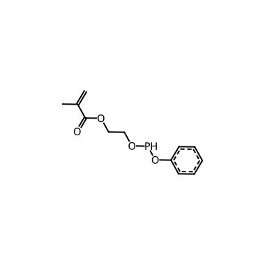 C=C(C)C(=O)OCCOPOc1ccccc1